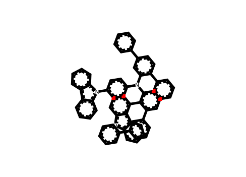 c1ccc(-c2cccc(-c3cccc(N(c4ccc(-n5c6ccccc6c6ccccc65)cc4)c4cc(-c5ccccc5)ccc4-c4ccccc4)c3-c3cccc4oc5ccccc5c34)c2)cc1